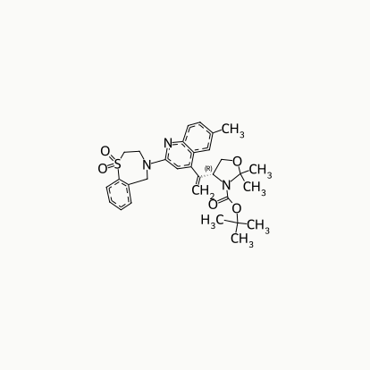 C=C(c1cc(N2CCS(=O)(=O)c3ccccc3C2)nc2ccc(C)cc12)[C@@H]1COC(C)(C)N1C(=O)OC(C)(C)C